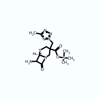 Cc1nnn(CC2(C(=O)O[Si](C)(C)C)CS[C@@H]3C(N)C(=O)N3C2)n1